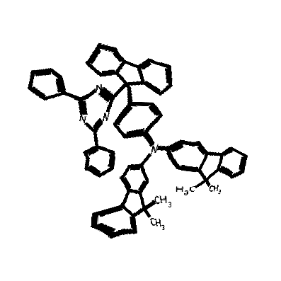 CC1(C)c2ccccc2-c2ccc(N(c3ccc(C4(c5nc(-c6ccccc6)nc(-c6ccccc6)n5)c5ccccc5-c5ccccc54)cc3)c3ccc4c(c3)C(C)(C)c3ccccc3-4)cc21